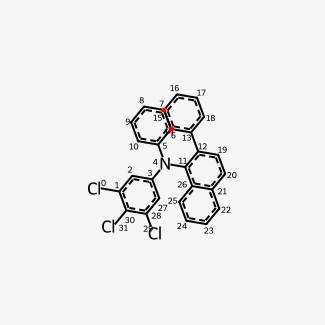 Clc1cc(N(c2ccccc2)c2c(-c3ccccc3)ccc3ccccc23)cc(Cl)c1Cl